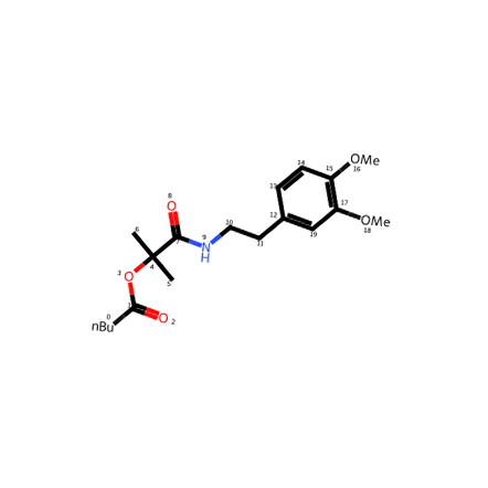 CCCCC(=O)OC(C)(C)C(=O)NCCc1ccc(OC)c(OC)c1